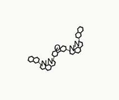 c1ccc2cc(-c3ccc4ccc5ccc(-c6ccc7oc8ccc(-c9ccc%10ccc%11ccc(-c%12ccc%13ccccc%13c%12)nc%11c%10n9)cc8c7c6)nc5c4n3)ccc2c1